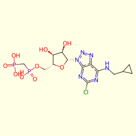 O=P(O)(O)CP(=O)(O)OC[C@H]1O[C@@H](n2nnc3c(NCC4CC4)nc(Cl)nc32)[C@H](O)[C@@H]1O